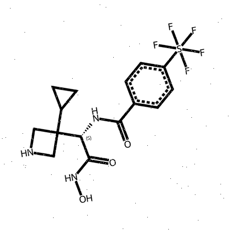 O=C(N[C@H](C(=O)NO)C1(C2CC2)CNC1)c1ccc(S(F)(F)(F)(F)F)cc1